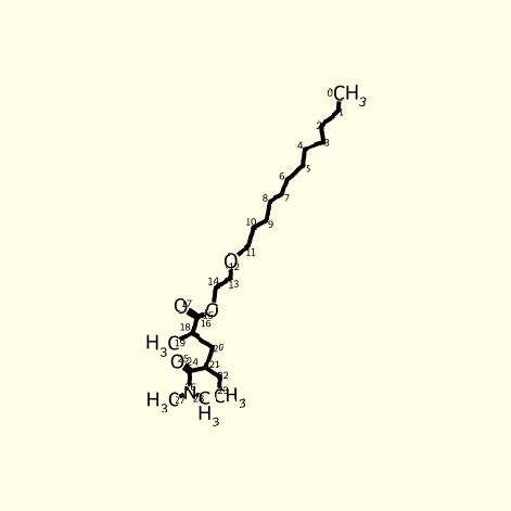 CCCCCCCCCCCCOCCOC(=O)C(C)CC(CC)C(=O)N(C)C